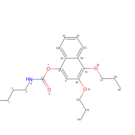 CCCCNC(=O)Oc1cc(OCCC)c(OCCC)c2ccccc12